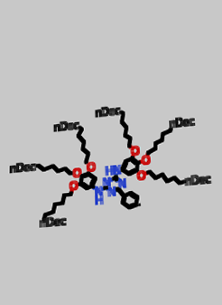 CCCCCCCCCCCCCCCCOc1cc(Nc2nc(Nc3cc(OCCCCCCCCCCCCCCCC)c(OCCCCCCCCCCCCCCCC)c(OCCCCCCCCCCCCCCCC)c3)nc(-c3cc[c]cc3)n2)cc(OCCCCCCCCCCCCCCCC)c1OCCCCCCCCCCCCCCCC